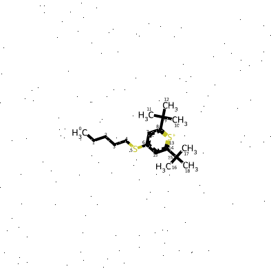 CCCCCSc1cc(C(C)(C)C)[s+]c(C(C)(C)C)c1